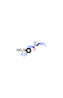 NCCNC(=O)Nc1ccc(N)c(S(=O)(=O)O)c1